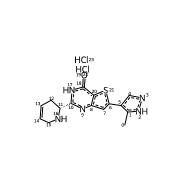 Cc1[nH]ncc1-c1cc2nc([C@H]3CC=CCN3)[nH]c(=O)c2s1.Cl.Cl